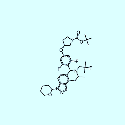 C[C@@H]1Cc2c(ccc3c2cnn3C2CCCCO2)[C@@H](c2c(F)cc(O[C@H]3CCN(C(=O)OC(C)(C)C)C3)cc2F)N1CC(C)(C)F